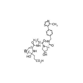 Cc1ncsc1-c1ccc(CNC(=O)[C@@H]2C[C@@H](O)CN2C(=O)[C@H](C)NC(=O)[C@H](CC(C)C)NC(C)(O)CCC(=O)O)cc1